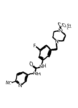 CCOC(=O)N1CCN(Cc2cc(F)cc(NC(=O)Nc3ccc(C#N)nc3)c2)CC1